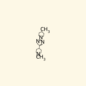 CC1CCN(c2ncc(C3CCN(C)CC3)cn2)CC1